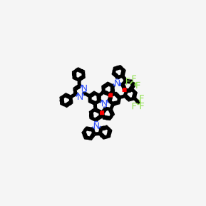 FC(F)(F)c1cc(-c2ccc3c(c2)c2ccccc2n3-c2c(-c3ccc(-n4c5ccccc5c5ccccc54)cc3)cc(-c3nc(-c4ccccc4)cc(-c4ccccc4)n3)cc2-c2ccc(-n3c4ccccc4c4ccccc43)cc2)cc(C(F)(F)F)c1